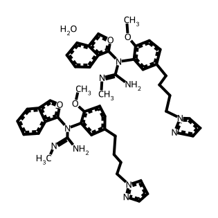 CN=C(N)N(c1cc(CCCCn2cccn2)ccc1OC)c1occ2ccccc12.CN=C(N)N(c1cc(CCCCn2cccn2)ccc1OC)c1occ2ccccc12.O